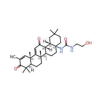 CC1(C)CC[C@]2(NC(=O)NCCO)CC[C@]3(C)[C@H](C(=O)C=C4[C@@]5(C)C=C(C#N)C(=O)C(C)(C)[C@@H]5CC[C@]43C)[C@@H]2C1